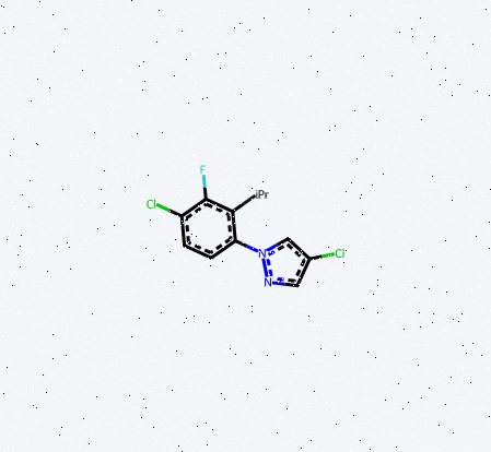 CC(C)c1c(-n2cc(Cl)cn2)ccc(Cl)c1F